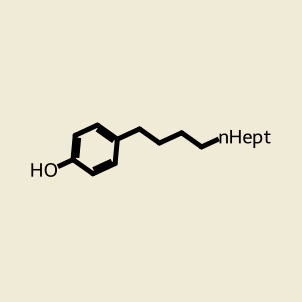 CCCCCCCCCCCc1ccc(O)cc1